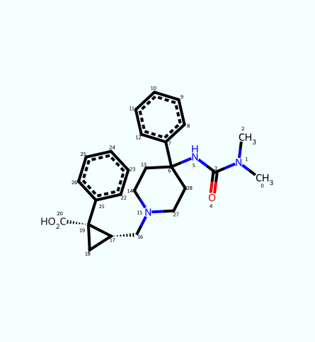 CN(C)C(=O)NC1(c2ccccc2)CCN(C[C@@H]2C[C@@]2(C(=O)O)c2ccccc2)CC1